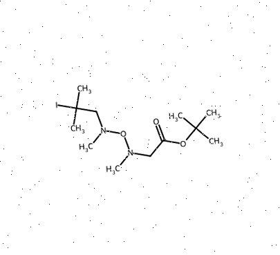 CN(CC(=O)OC(C)(C)C)ON(C)CC(C)(C)I